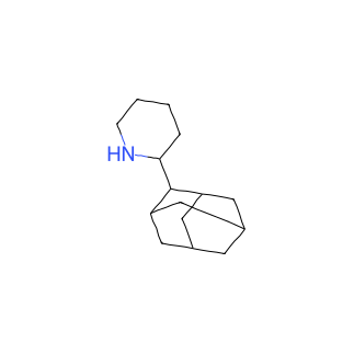 C1CCC(C2C3CC4CC(C3)CC2C4)NC1